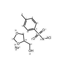 Cc1ccc(S(=O)(=O)[N-]Cl)cc1.OCC1COCO1.[Na+]